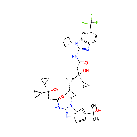 CC(C)(O)c1ccc2nc(NC(=O)CC(O)(C3CC3)C3CC3)n(C3CC(C4CC4C(O)(CC(=O)Nc4nc5ccc(C(F)(F)F)cc5n4C4CCC4)C4CC4)C3)c2c1